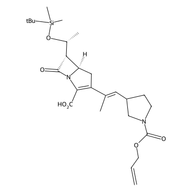 C=CCOC(=O)N1CCC(C=C(C)C2=C(C(=O)O)N3C(=O)[C@H]([C@@H](C)O[Si](C)(C)C(C)(C)C)[C@H]3C2)C1